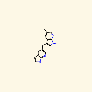 Cc1cnc2c(c1)c(Cc1cnc3[nH]ccc3c1)cn2C